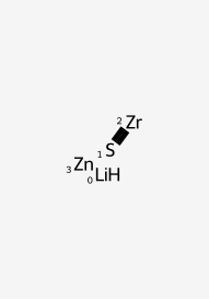 [LiH].[S]=[Zr].[Zn]